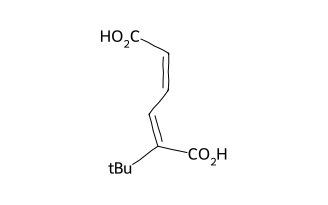 CC(C)(C)/C(=C/C=C\C(=O)O)C(=O)O